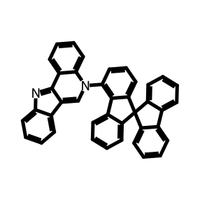 c1ccc2c(c1)-c1ccccc1C21c2ccccc2-c2c(-n3cc4c5ccccc5nc-4c4ccccc43)cccc21